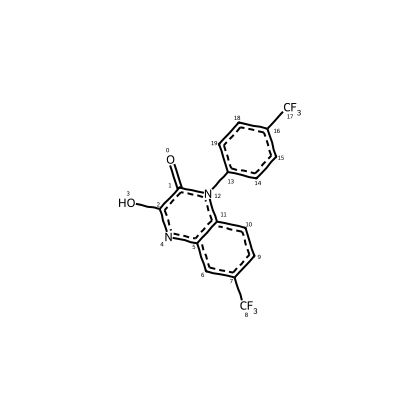 O=c1c(O)nc2cc(C(F)(F)F)ccc2n1-c1ccc(C(F)(F)F)cc1